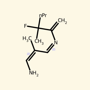 C=C(/N=C\C(C)=C/N)C(C)(F)CCC